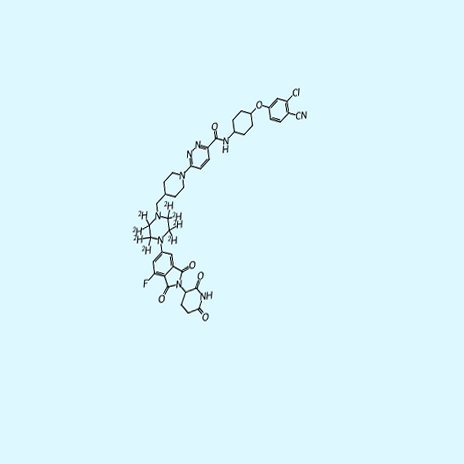 [2H]C1([2H])N(CC2CCN(c3ccc(C(=O)NC4CCC(Oc5ccc(C#N)c(Cl)c5)CC4)nn3)CC2)C([2H])([2H])C([2H])([2H])N(c2cc(F)c3c(c2)C(=O)N(C2CCC(=O)NC2=O)C3=O)C1([2H])[2H]